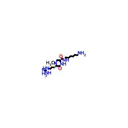 CN1C[C@H](C(=O)NCCCCCCN)NC(=O)[C@@H]1CCCNC(=N)N